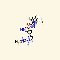 Cn1cc(Nc2nccc(-c3ccc4c(c3)CNCC[C@@H]4NC(=O)c3cn(C(C)(C)C)nn3)n2)cn1